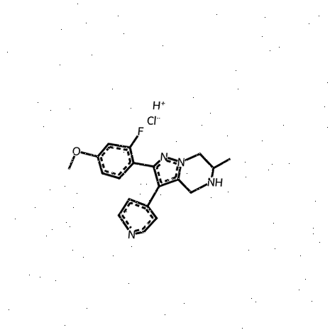 COc1ccc(-c2nn3c(c2-c2ccncc2)CNC(C)C3)c(F)c1.[Cl-].[H+]